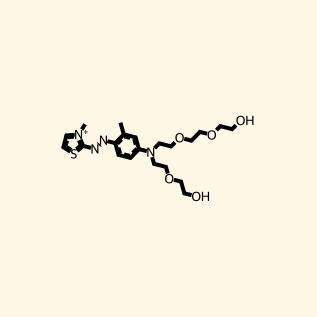 Cc1cc(N(CCOCCO)CCOCCOCCO)ccc1/N=N/c1scc[n+]1C